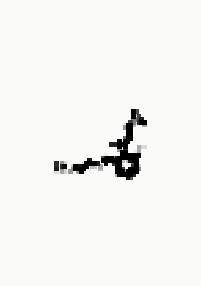 CN(C)CCNc1c(F)cccc1C=NCCC(C)(C)C